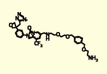 Cn1cnnc1CC1(c2cccc(-n3cc4c(C(F)(F)F)cc(CNCCOCCOCc5ccc(COCCN)cc5)cn4c3=O)c2)COC1